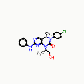 C[C@H](CO)N1C(=O)N(c2ccc(Cl)cc2)[C@@H](C)c2cnc(Nc3ccccc3)nc21